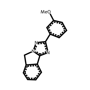 COc1cccc(-c2nc3n(n2)Cc2ccccc2-3)c1